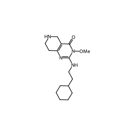 COn1c(NCCC2CCCCC2)nc2c(c1=O)CNCC2